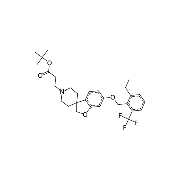 CCc1cccc(C(F)(F)F)c1COc1ccc2c(c1)OCC21CCN(CCC(=O)OC(C)(C)C)CC1